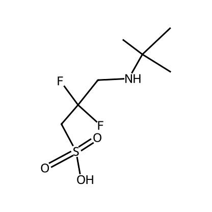 CC(C)(C)NCC(F)(F)CS(=O)(=O)O